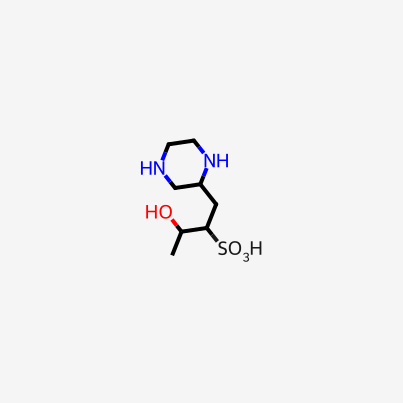 CC(O)C(CC1CNCCN1)S(=O)(=O)O